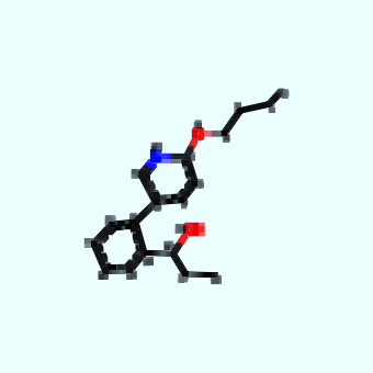 CCCCOc1ccc(-c2ccccc2C(O)CC)cn1